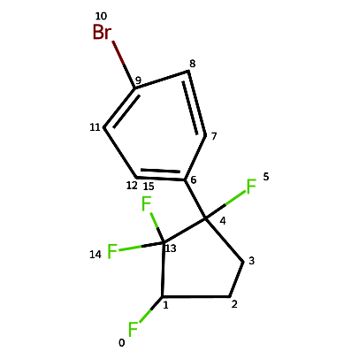 FC1CCC(F)(c2ccc(Br)cc2)C1(F)F